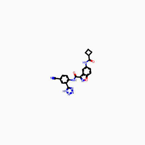 N#Cc1ccc(NC(=O)c2noc3ccc(NC(=O)C4CCC4)cc23)c(-c2nnn[nH]2)c1